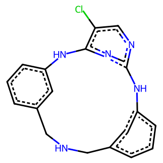 Clc1cnc2nc1Nc1cccc(c1)CNCc1cccc(c1)N2